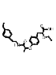 CCOC(Cc1ccc(OC(C)C(=O)NCCc2ccc(CC)cc2)cc1)C(=O)O